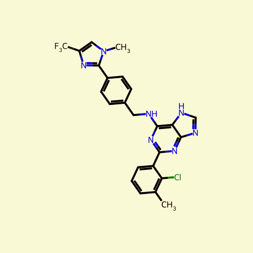 Cc1cccc(-c2nc(NCc3ccc(-c4nc(C(F)(F)F)cn4C)cc3)c3[nH]cnc3n2)c1Cl